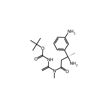 C=C(NC(=O)OC(C)(C)C)N(C)C(=O)C[C@](C)(N)c1cccc(N)c1